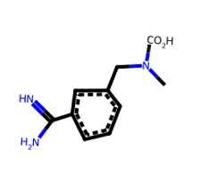 CN(Cc1cccc(C(=N)N)c1)C(=O)O